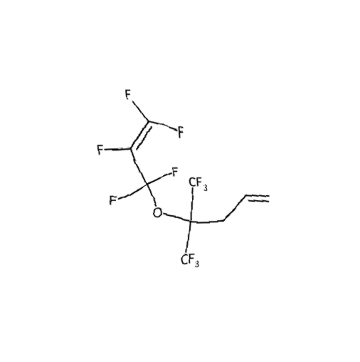 C=CCC(OC(F)(F)C(F)=C(F)F)(C(F)(F)F)C(F)(F)F